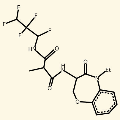 CCN1C(=O)C(NC(=O)C(C)C(=O)NC(F)C(F)(F)C(F)F)COc2ccccc21